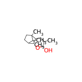 CC(CC1CC2CCC1(C)C2(C)C)C(=O)O